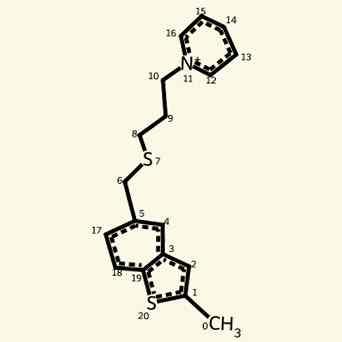 Cc1cc2cc(CSCCC[n+]3ccccc3)ccc2s1